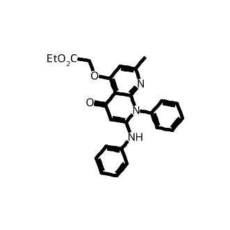 CCOC(=O)COc1cc(C)nc2c1c(=O)cc(Nc1ccccc1)n2-c1ccccc1